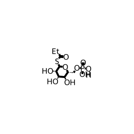 CCC(=O)SC1O[C@H](COP(=O)(O)O)[C@@H](O)[C@H](O)[C@@H]1O